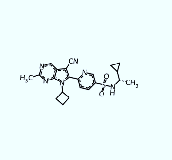 Cc1ncc2c(C#N)c(-c3ccc(S(=O)(=O)N[C@@H](C)C4CC4)cn3)n(C3CCC3)c2n1